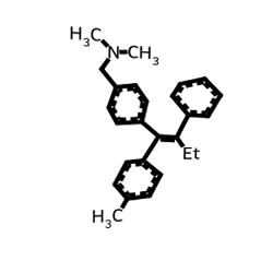 CC/C(=C(\c1ccc(C)cc1)c1ccc(CN(C)C)cc1)c1ccccc1